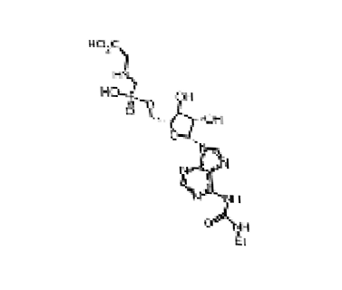 CCNC(=O)Nc1ncnc2c1ncn2[C@@H]1O[C@H](COP(=O)(O)CNCC(=O)O)C(O)[C@@H]1O